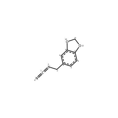 [N]=C=NCc1ccc2c(c1)OCO2